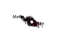 CCn1c(-c2cccnc2[C@H](C)OC)c2c3cc(ccc31)-c1cccc(c1)C[C@H](NC(=O)[C@H](C(C)C)N(C)C(=O)[C@H]1CCN(C(=O)/C=C/CN3CC(OC)C3)C1)C(=O)N1CCC[C@H](N1)C(=O)OCC(C)(C)C2